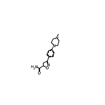 CN1CCN(c2ccc(C3=NOC(C(N)=O)C3)cc2)CC1